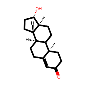 C[C@]12CCC3[C@@H](CCC4=CC(=O)CC[C@@]43C)[C@@H]1CC[C@@H]2O